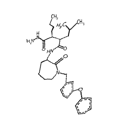 CCC[C@H](C(=O)NN)C(CC(C)C)C(=O)NC1CCCCN(Cc2cccc(Oc3ccccc3)c2)C1=O